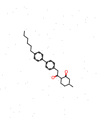 CCCCCCc1ccc(-c2ccc(CC(=O)C3CCC(C)CC3=O)cc2)cc1